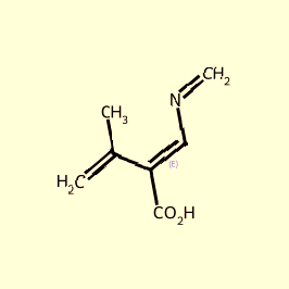 C=N/C=C(\C(=C)C)C(=O)O